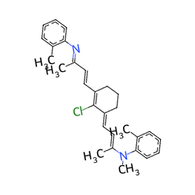 C/C(=C\C=C1/CCCC(/C=C/C(C)=N/c2ccccc2C)=C1Cl)N(C)c1ccccc1C